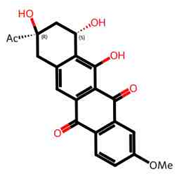 COc1ccc2c(c1)C(=O)c1c(cc3c(c1O)[C@@H](O)C[C@@](O)(C(C)=O)C3)C2=O